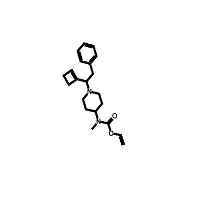 C=COC(=O)N(C)C1CCN(C(Cc2ccccc2)C2=CCC2)CC1